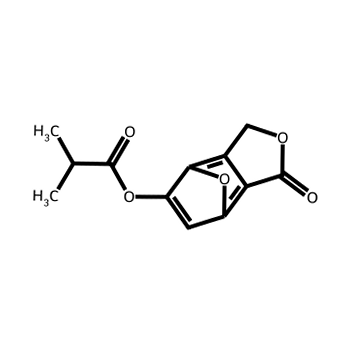 CC(C)C(=O)Oc1cc2oc1c1c2C(=O)OC1